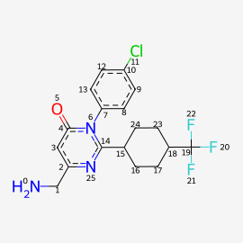 NCc1cc(=O)n(-c2ccc(Cl)cc2)c(C2CCC(C(F)(F)F)CC2)n1